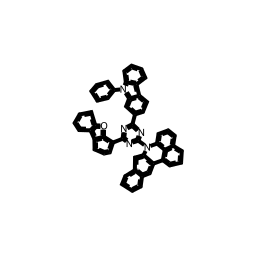 c1ccc(-n2c3ccccc3c3ccc(-c4nc(-c5cccc6c5oc5ccccc56)nc(N5c6cc7ccccc7cc6-c6cccc7cccc5c67)n4)cc32)cc1